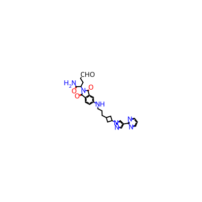 NC(=O)C(CCC=O)N1C(=O)c2ccc(NCCCC3CC(n4cc(-c5ncccn5)cn4)C3)cc2C1=O